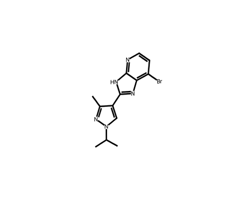 Cc1nn(C(C)C)cc1-c1nc2c(Br)ccnc2[nH]1